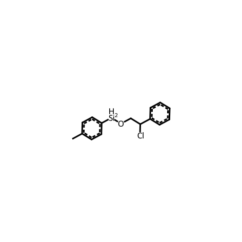 Cc1ccc([SiH2]OCC(Cl)c2ccccc2)cc1